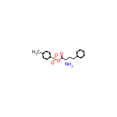 Cc1ccc(S(=O)(=O)OC(=O)[C@@H](N)CCc2ccccc2)cc1